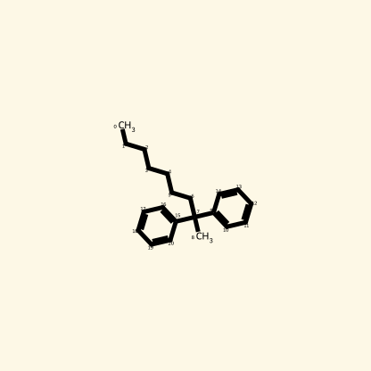 CCCCCCCC(C)(c1ccccc1)c1ccccc1